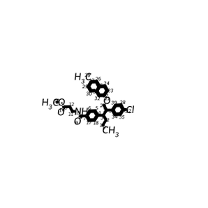 CCCC(c1ccc(C(=O)NCCC(=O)OC)cc1)C(COc1ccc2cc(C)ccc2c1)c1ccc(Cl)cc1